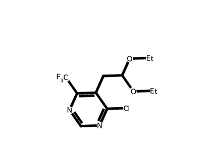 CCOC(Cc1c(Cl)ncnc1C(F)(F)F)OCC